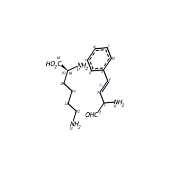 NC(C=O)/C=C/c1ccccc1.NCCCC[C@H](N)C(=O)O